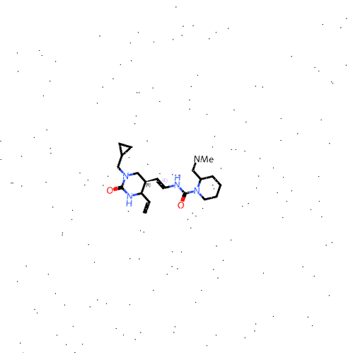 C=CC1NC(=O)N(CC2CC2)C[C@H]1/C=C/NC(=O)N1CCCCC1CNC